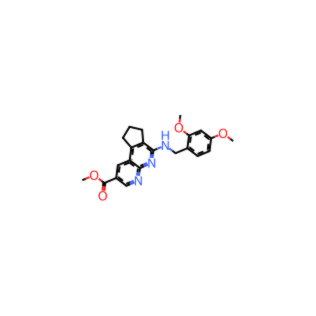 COC(=O)c1cnc2nc(NCc3ccc(OC)cc3OC)c3c(c2c1)CCC3